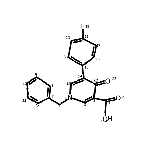 O=C(O)c1cn(Cc2ccccc2)cc(-c2ccc(F)cc2)c1=O